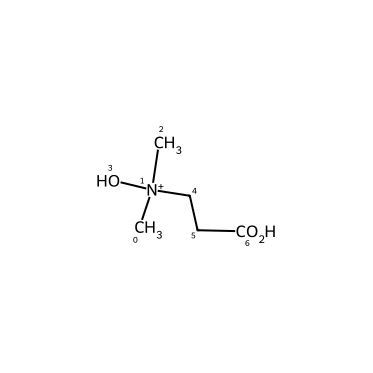 C[N+](C)(O)CCC(=O)O